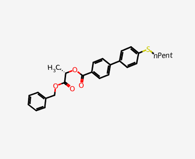 CCCCCSc1ccc(-c2ccc(C(=O)O[C@@H](C)C(=O)OCc3ccccc3)cc2)cc1